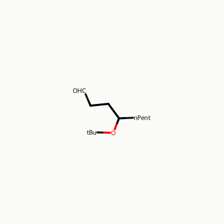 CCCCCC(CCC=O)OC(C)(C)C